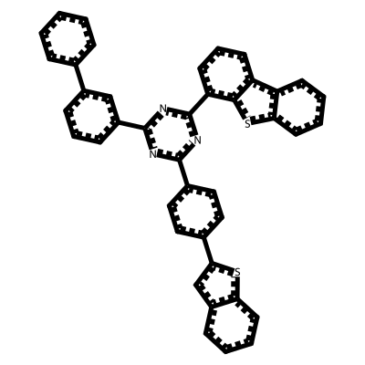 c1ccc(-c2cccc(-c3nc(-c4ccc(-c5cc6ccccc6s5)cc4)nc(-c4cccc5c4sc4ccccc45)n3)c2)cc1